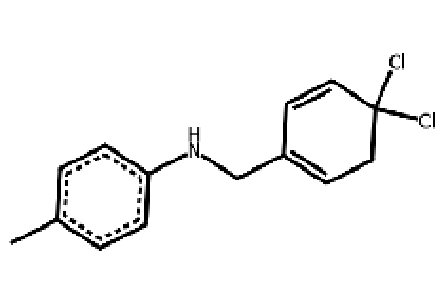 Cc1ccc(NCC2=CCC(Cl)(Cl)C=C2)cc1